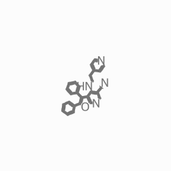 N#Cc1cnc2oc(-c3ccccc3)c(-c3ccccc3)c2c1NCCc1ccncc1